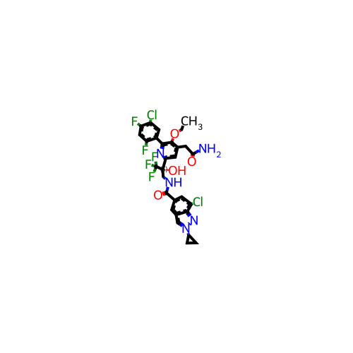 CCOc1c(CC(N)=O)cc([C@@](O)(CNC(=O)c2cc(Cl)c3nn(C4CC4)cc3c2)C(F)(F)F)nc1-c1cc(Cl)c(F)cc1F